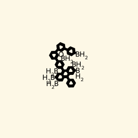 Bc1ccc(-c2cccc3c2oc2c(-c4cc(B)c(-c5c6cc(B)c(B)cc6c(-c6ccccc6)c6cc(B)c(B)cc56)cc4B)cccc23)cc1